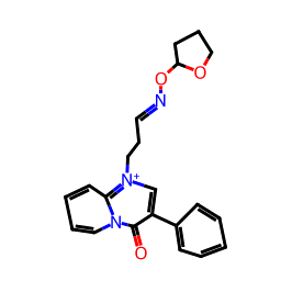 O=c1c(-c2ccccc2)c[n+](CCC=NOC2CCCO2)c2ccccn12